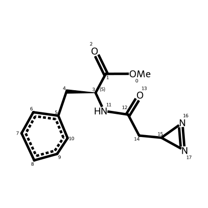 COC(=O)[C@H](Cc1ccccc1)NC(=O)CC1N=N1